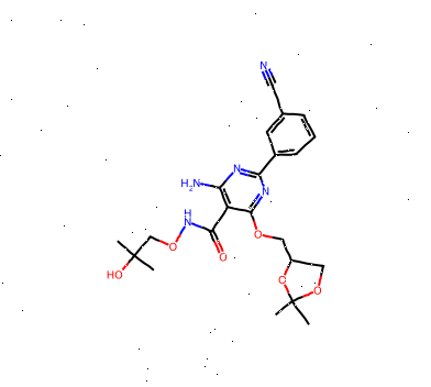 CC(C)(O)CONC(=O)c1c(N)nc(-c2cccc(C#N)c2)nc1OCC1COC(C)(C)O1